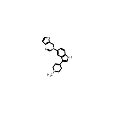 CN1CC=C(c2c[nH]c3ccc(N(C=O)Cc4ccco4)cc23)CC1